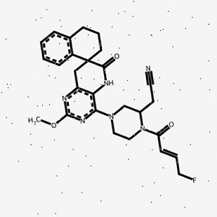 COc1nc2c(c(N3CCN(C(=O)/C=C/CF)C(CC#N)C3)n1)NC(=O)C1(CCCc3ccccc31)C2